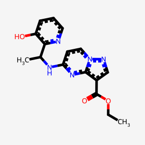 CCOC(=O)c1cnn2ccc(NC(C)c3ncccc3O)nc12